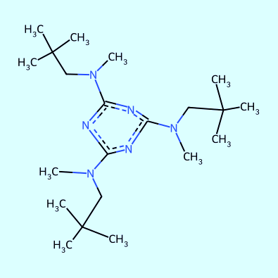 CN(CC(C)(C)C)c1nc(N(C)CC(C)(C)C)nc(N(C)CC(C)(C)C)n1